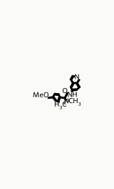 COCc1ccc(C(C(=O)Nc2ccc3cnccc3c2)N(C)C)cc1